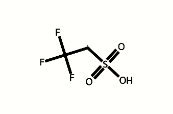 O=S(=O)(O)[CH]C(F)(F)F